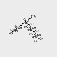 C=CCOC(=O)OCC=C.O=C(O)O.O=C(O)O.O=C(O)O.O=C(O)O.O=C(O)O.O=C(O)O.O=C(O)O